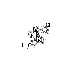 Cc1ccc(-n2nccn2)c(C(=O)N2CCCC2c2ncc(-c3cccc(Cl)c3)[nH]2)c1